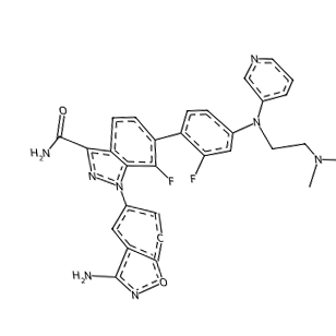 CN(C)CCN(c1cccnc1)c1ccc(-c2ccc3c(C(N)=O)nn(-c4ccc5onc(N)c5c4)c3c2F)c(F)c1